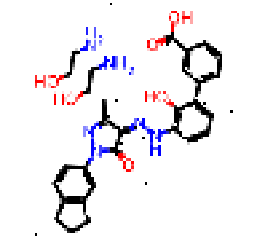 CC1=NN(c2ccc3c(c2)CCC3)C(=O)C1=NNc1cccc(-c2cccc(C(=O)O)c2)c1O.NCCO.NCCO